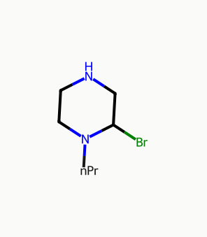 CCCN1CCNCC1Br